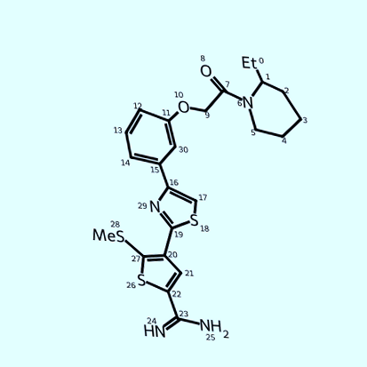 CCC1CCCCN1C(=O)COc1cccc(-c2csc(-c3cc(C(=N)N)sc3SC)n2)c1